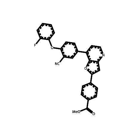 COC(=O)c1ccc(-c2cc3nccc(-c4ccc(Oc5ccccc5F)c(C#N)c4)c3o2)cc1